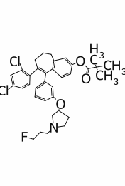 CC(C)(C)C(=O)Oc1ccc2c(c1)CCCC(c1ccc(Cl)cc1Cl)=C2c1cccc(OC2CCN(CCCF)C2)c1